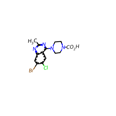 Cc1nc(N2CCN(C(=O)O)CC2)c2cc(Cl)c(Br)cc2n1